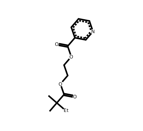 CCC(C)(C)C(=O)OCCOC(=O)c1cccnc1